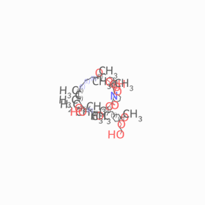 C=C1C(OC)[C@@H](O)/C(C)=C/[C@H](C)C(=O)C[C@@H](C(C)C[C@@H]2CCC(OCCO)[C@H](OC)C2)OC(=O)C2CCCCN2C(=O)C(=O)[C@@]2(O)OC(CC[C@H]2C)C[C@@H](OC)/C(C)=C/C=C/C=C/[C@H](C)C[C@H]1C